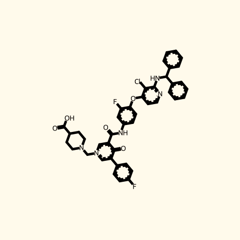 O=C(Nc1ccc(Oc2ccnc(NC(c3ccccc3)c3ccccc3)c2Cl)c(F)c1)c1cn(CN2CCC(C(=O)O)CC2)cc(-c2ccc(F)cc2)c1=O